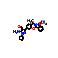 COc1ccccc1C(=O)NC(C)c1ccc(-c2nn(C3CCCC3)c(N)c2C=O)cc1